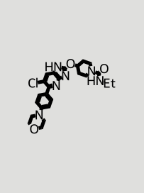 CCNC(=O)N1CCC(Oc2nc3nc(-c4ccc(N5CCOCC5)cc4)c(Cl)cc3[nH]2)CC1